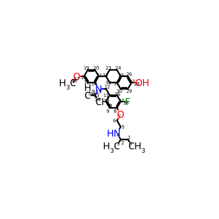 CCC(C)NCCOc1ccc(CN(c2cc(OC)ccc2C2CCc3cc(O)ccc3C2)C(C)C)cc1F